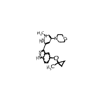 CN1C=C(N2CCOCC2)C=C(c2n[nH]c3ccc(OC4(C)CC4)cc23)N1